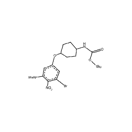 CNc1cc(OC2CCC(NC(=O)OC(C)(C)C)CC2)cc(Br)c1[N+](=O)[O-]